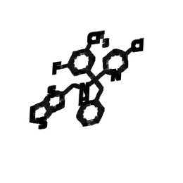 Fc1cc(C(F)(F)F)cc(C(Cc2ccccc2)(NCc2cc3sccc3s2)c2ccc(Cl)cn2)c1